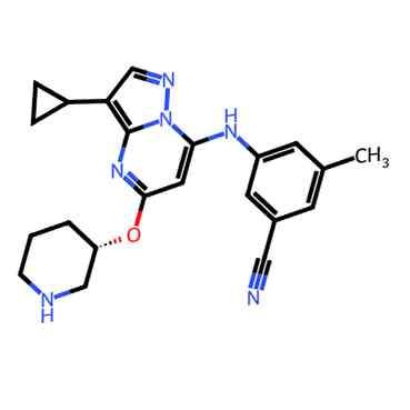 Cc1cc(C#N)cc(Nc2cc(O[C@H]3CCCNC3)nc3c(C4CC4)cnn23)c1